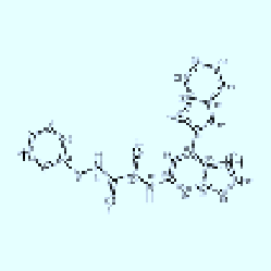 O=C(NCc1cccnc1)C(=O)Nc1cc(-c2cc3ccccc3s2)c2[nH]ncc2c1